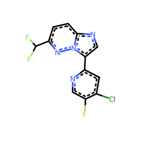 Fc1cnc(-c2cnc3ccc(C(F)F)nn23)cc1Cl